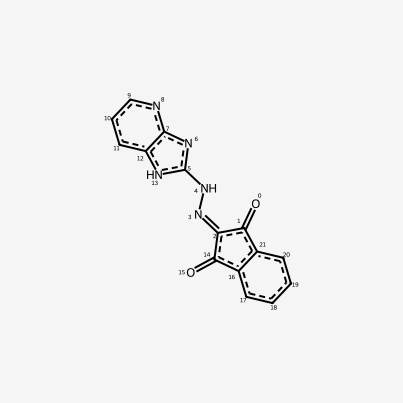 O=c1c(=NNc2nc3ncccc3[nH]2)c(=O)c2ccccc12